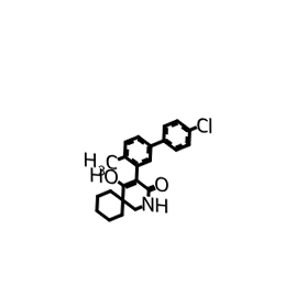 Cc1ccc(-c2ccc(Cl)cc2)cc1C1=C(O)C2(CCCCC2)CNC1=O